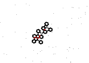 c1ccc(-c2c(-c3cccc(N(c4ccc(-c5ccccc5-n5c6ccccc6c6ccccc65)cc4)c4ccccc4-c4cccc5ccccc45)c3)ccc3ccccc23)cc1